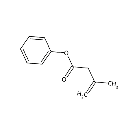 C=C(C)CC(=O)Oc1ccccc1